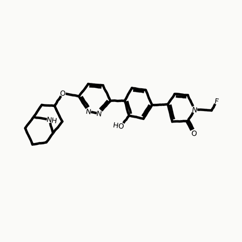 O=c1cc(-c2ccc(-c3ccc(OC4CC5CCCC(C4)N5)nn3)c(O)c2)ccn1CF